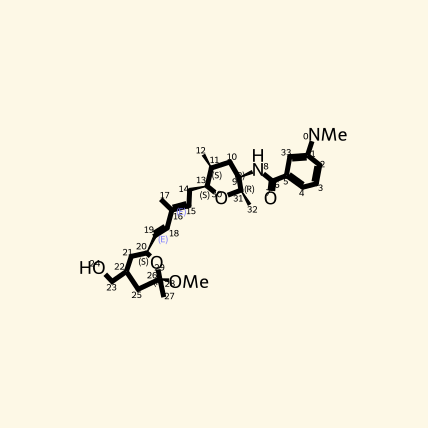 CNc1cccc(C(=O)N[C@@H]2C[C@H](C)[C@H](C/C=C(C)/C=C/[C@@H]3CC(CO)C[C@](C)(OC)O3)O[C@@H]2C)c1